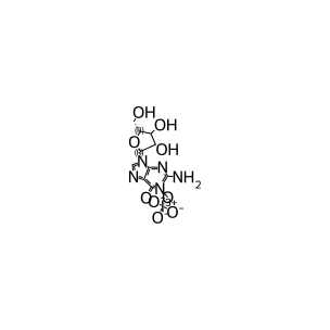 Nc1nc2c(ncn2[C@@H]2O[C@H](CO)C(O)C2O)c(=O)n1O[I+3]([O-])([O-])[O-]